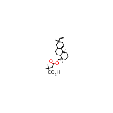 C=C[C@]1(C)CC=C2C(CCC3[C@@](C)(COC(=O)CC(C)(C)C(=O)O)CCC[C@]23C)C1